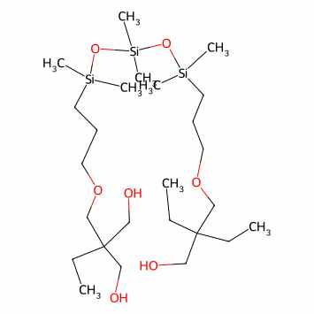 CCC(CC)(CO)COCCC[Si](C)(C)O[Si](C)(C)O[Si](C)(C)CCCOCC(CC)(CO)CO